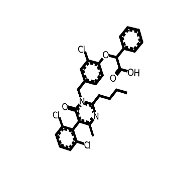 CCCCc1nc(C)c(-c2c(Cl)cccc2Cl)c(=O)n1Cc1ccc(OC(C(=O)O)c2ccccc2)c(Cl)c1